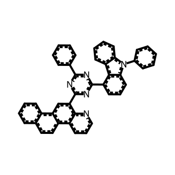 c1ccc(-c2nc(-c3cc4c5ccccc5ccc4c4cccnc34)nc(-c3cccc4c3c3ccccc3n4-c3ccccc3)n2)cc1